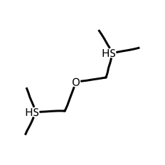 C[SH](C)COC[SH](C)C